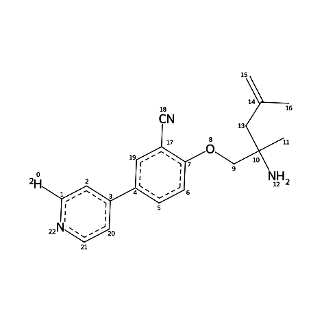 [2H]c1cc(-c2ccc(OCC(C)(N)CC(=C)C)c(C#N)c2)ccn1